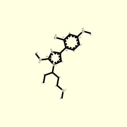 CCC(CCOC)n1cc(-c2ccc(OC)cc2Cl)nc1OC